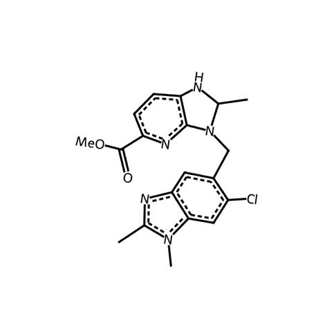 COC(=O)c1ccc2c(n1)N(Cc1cc3nc(C)n(C)c3cc1Cl)C(C)N2